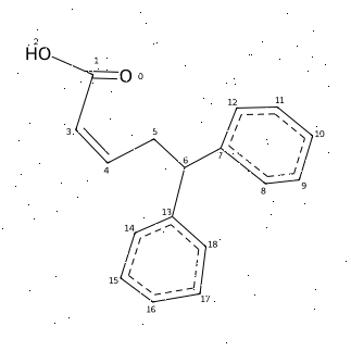 O=C(O)/C=C\CC(c1ccccc1)c1ccccc1